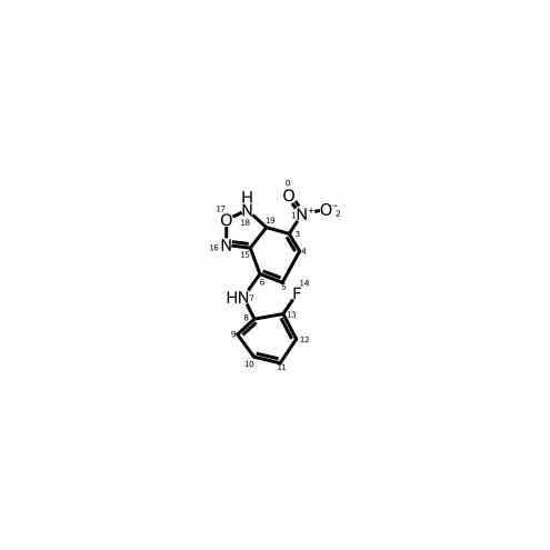 O=[N+]([O-])C1=CC=C(Nc2ccccc2F)C2=NONC12